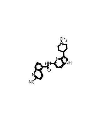 CN1CCC(c2c[nH]c3ccc(NC(=O)c4cccc5nc(C#N)ccc45)nc23)CC1